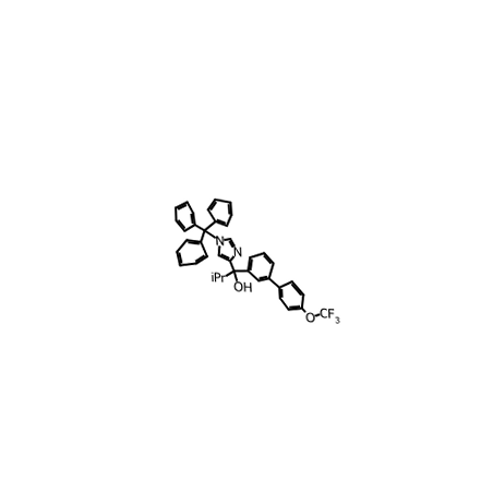 CC(C)C(O)(c1cccc(-c2ccc(OC(F)(F)F)cc2)c1)c1cn(C(c2ccccc2)(c2ccccc2)c2ccccc2)cn1